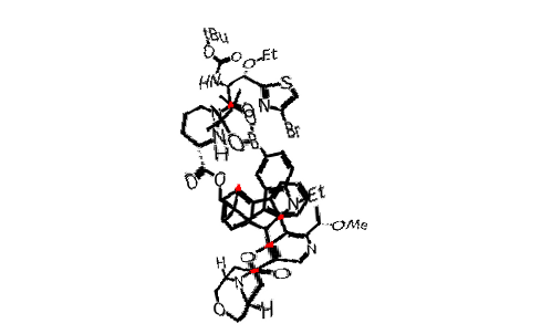 CCO[C@H](c1nc(Br)cs1)[C@H](NC(=O)OC(C)(C)C)C(=O)N1CCC[C@@H](C(=O)OCC(C)(C)Cc2c(-c3cc(C4C[C@H]5COC[C@@H](C4)N5C(=O)OCC4c5ccccc5-c5ccccc54)cnc3[C@H](C)OC)n(CC)c3ccc(B4OC(C)(C)C(C)(C)O4)cc23)N1